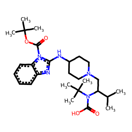 CC(C)C(CN1CCC(Nc2nc3ccccc3n2C(=O)OC(C)(C)C)CC1)N(C(=O)O)C(C)(C)C